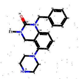 CCN1Cc2c(N3CCNCC3)cccc2N(Cc2ccccc2)C1=O